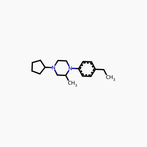 CCc1ccc(N2CCN(C3CCCC3)CC2C)cc1